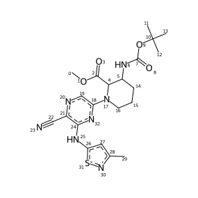 COC(=O)C1C(NC(=O)OC(C)(C)C)CCCN1c1cnc(C#N)c(Nc2cc(C)ns2)n1